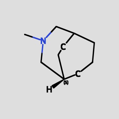 CN1CC2CCC[C@@H](CC2)C1